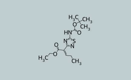 CC/C=C(/C(=O)OCC)c1nsc(NC(=O)OC(C)(C)C)n1